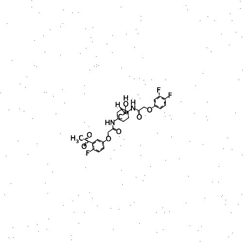 CS(=O)(=O)c1cc(OCC(=O)NC23CCC(NC(=O)COc4ccc(F)c(F)c4)(CC2)[C@@H](O)C3)ccc1F